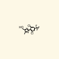 Cc1nn(-c2c(Cl)cc(C(F)(F)F)cc2Cl)nc1CO